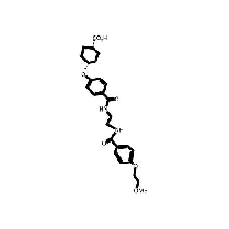 COCCOc1ccc(C(=O)NCCNC(=O)c2ccc(O[C@H]3CC[C@@H](C(=O)O)CC3)cc2)cc1